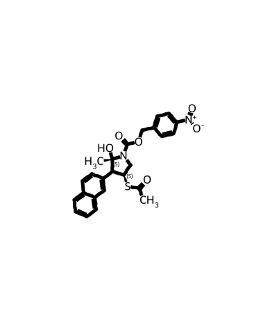 CC(=O)S[C@@H]1CN(C(=O)OCc2ccc([N+](=O)[O-])cc2)[C@@](C)(O)C1c1ccc2ccccc2c1